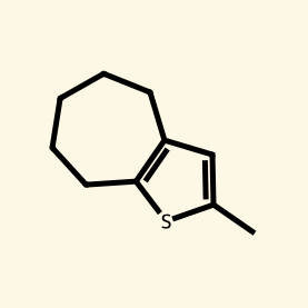 Cc1cc2c(s1)CCCCC2